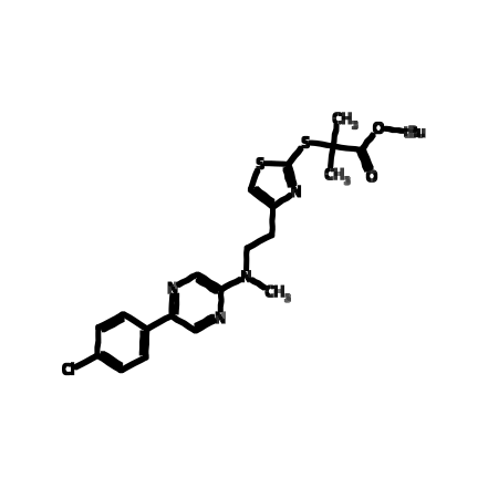 CN(CCc1csc(SC(C)(C)C(=O)OC(C)(C)C)n1)c1cnc(-c2ccc(Cl)cc2)cn1